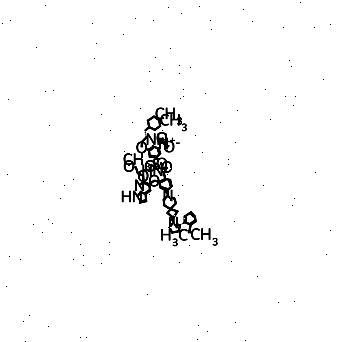 COCCOc1nc2[nH]ccc2cc1Oc1cc(N2CCC3(CC2)CC(N2CCC[C@H]2c2ccccc2C(C)C)C3)ccc1C(=O)NS(=O)(=O)c1cc2c(c([N+](=O)[O-])c1)N[C@@H](CC1CCC(C)(C)CC1)CO2